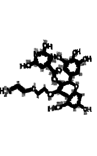 NCCOCCOC1c2c(O)cc(O)cc2OC(c2cc(O)c(O)c(O)c2)C1OC(=O)c1cc(O)nc(O)c1